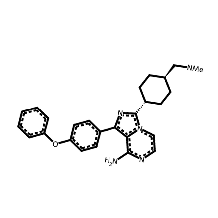 CNC[C@H]1CC[C@H](c2nc(-c3ccc(Oc4ccccc4)cc3)c3c(N)nccn32)CC1